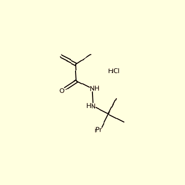 C=C(C)C(=O)NNC(C)(C)C(C)C.Cl